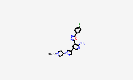 Nc1ncc(-c2cnn(C3CCN(C(=O)O)CC3)c2)cc1-c1nnc(-c2ccc(F)cc2)o1